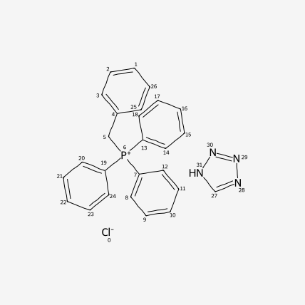 [Cl-].c1ccc(C[P+](c2ccccc2)(c2ccccc2)c2ccccc2)cc1.c1nnn[nH]1